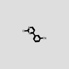 N#Cc1cccc(-c2ccnc(Cl)n2)c1